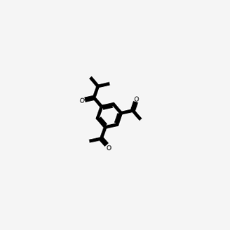 CC(=O)c1cc(C(C)=O)cc(C(=O)C(C)C)c1